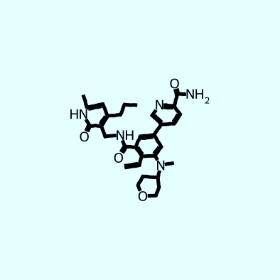 C=Cc1c(C(=O)NCc2c(CCC)cc(C)[nH]c2=O)cc(-c2ccc(C(N)=O)nc2)cc1N(C)C1CCOCC1